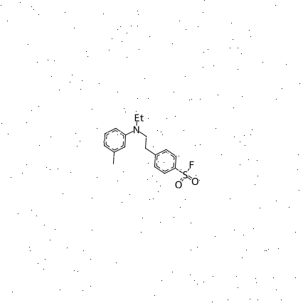 CCN(CCc1ccc(S(=O)(=O)F)cc1)c1cccc(C)c1